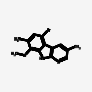 COc1c(N)cc(Br)c2c1[nH]c1ncc(C)cc12